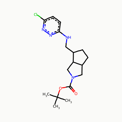 CC(C)(C)OC(=O)N1CC2CCC(CNc3ccc(Cl)nn3)C2C1